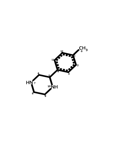 Cc1ccc(C2CNCCN2)cc1